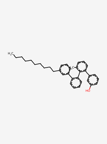 CCCCCCCCCCc1cccc(-c2ccccc2-c2c(C)cccc2-c2cccc(O)c2)c1